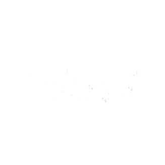 CC1([C@H]2C[C@@H](Oc3cnc(-c4cc(O)no4)cn3)C2)C(F)=CC(Cl)=CC1F